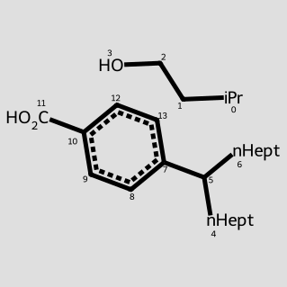 CC(C)CCO.CCCCCCCC(CCCCCCC)c1ccc(C(=O)O)cc1